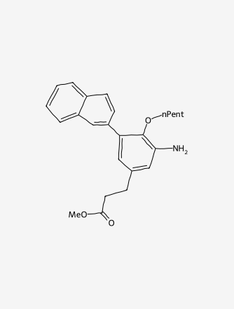 CCCCCOc1c(N)cc(CCC(=O)OC)cc1-c1ccc2ccccc2c1